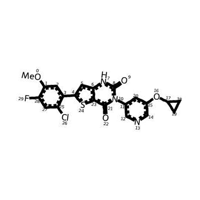 COc1cc(-c2cc3[nH]c(=O)n(-c4cncc(OC5CC5)c4)c(=O)c3s2)c(Cl)cc1F